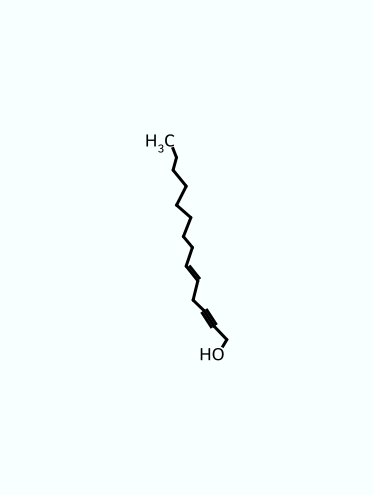 CCCCCCCCC=CCC#CCO